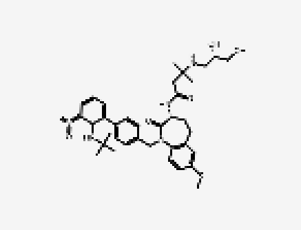 CSc1ccc2c(c1)CC[C@@H](NC(=O)CC(C)(C)NC[C@H](O)CO)C(=O)N2Cc1ccc(C2=CC=CC(=S(=O)=O)C2NC(C)(C)C)cc1